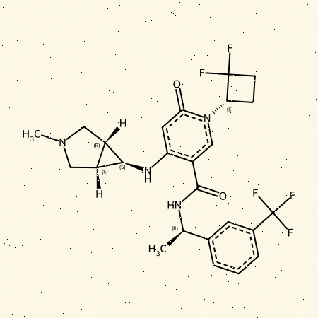 C[C@@H](NC(=O)c1cn([C@H]2CCC2(F)F)c(=O)cc1N[C@H]1[C@@H]2CN(C)C[C@@H]21)c1cccc(C(F)(F)F)c1